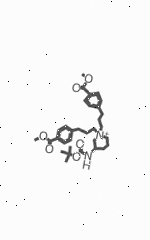 COC(=O)c1ccc(CCC[N+]2(CCCc3ccc(C(=O)OC)cc3)CCCC(NC(=O)OC(C)(C)C)C2)cc1